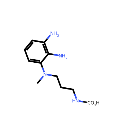 CN(CCCNC(=O)O)c1cccc(N)c1N